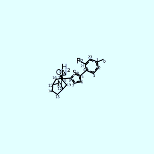 Cc1ccc(-c2ccc(C(=O)N3C4CCC3CC(N)C4)s2)c(F)c1